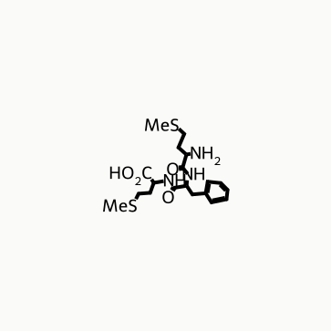 CSCCC(N)C(=O)NC(Cc1ccccc1)C(=O)NC(CCSC)C(=O)O